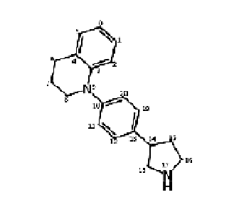 c1ccc2c(c1)CCCN2c1ccc(C2CCNC2)cc1